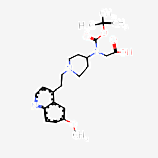 COc1ccc2nccc(CCN3CCC(N(CC(=O)O)C(=O)OC(C)(C)C)CC3)c2c1